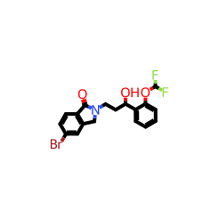 O=C1c2ccc(Br)cc2CN1CCC(O)c1ccccc1OC(F)F